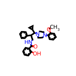 COc1ccccc1N1CCN(C(C2CC2)C(CNC(=O)c2ccccc2O)c2ccccc2)CC1